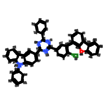 Clc1ccc(-c2nc(-c3ccccc3)nc(-c3ccc4c(c3)c3ccccc3n4-c3ccccc3)n2)cc1-c1cccc2c1oc1ccccc12